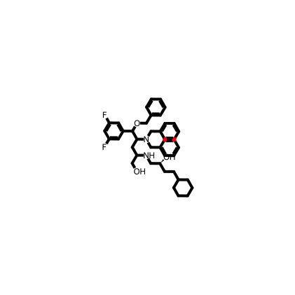 OCC(CC(C(OCc1ccccc1)c1cc(F)cc(F)c1)N(Cc1ccccc1)Cc1ccccc1)NC[C@H](O)CCC1CCCCC1